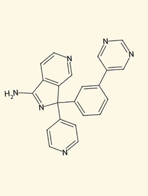 NC1=NC(c2ccncc2)(c2cccc(-c3cncnc3)c2)c2cnccc21